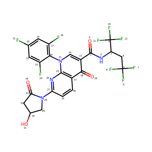 O=C(NC(CC(F)(F)F)C(F)(F)F)c1cn(-c2c(F)cc(F)cc2F)c2nc(N3CC(O)CC3=O)ccc2c1=O